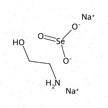 NCCO.O=[Se]([O-])[O-].[Na+].[Na+]